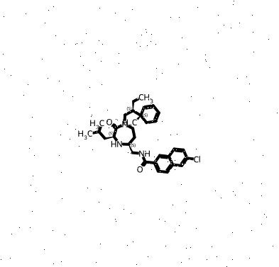 CC[C@H](CN1CC[C@@H](CNC(=O)c2ccc3cc(Cl)ccc3c2)N[C@@H](CC(C)C)C1=O)[C@]1(C)C=CC=CC1